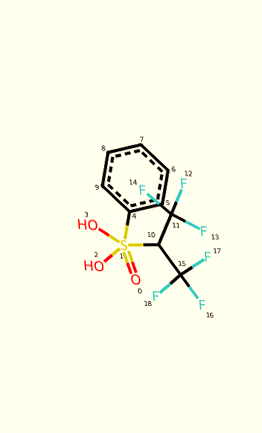 O=S(O)(O)(c1ccccc1)C(C(F)(F)F)C(F)(F)F